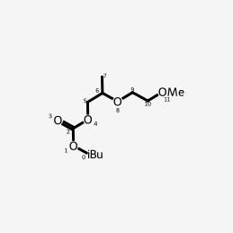 CCC(C)OC(=O)OCC(C)OCCOC